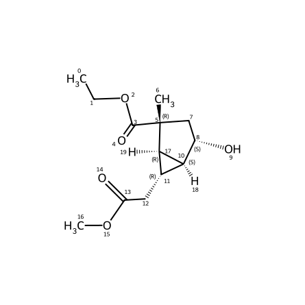 CCOC(=O)[C@]1(C)C[C@H](O)[C@H]2[C@H](CC(=O)OC)[C@H]21